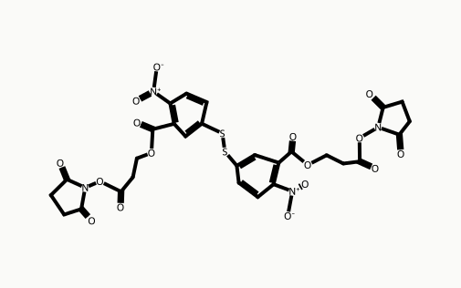 O=C(CCOC(=O)c1cc(SSc2ccc([N+](=O)[O-])c(C(=O)OCCC(=O)ON3C(=O)CCC3=O)c2)ccc1[N+](=O)[O-])ON1C(=O)CCC1=O